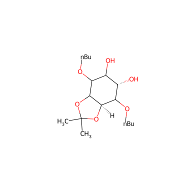 CCCCOC1C(O)[C@H](O)C(OCCCC)[C@H]2OC(C)(C)OC12